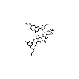 C=CCCCCC[C@H](Nc1cc(C)cc(C(F)(F)F)c1)C(=O)N1C[C@H](Oc2cc(-c3nc(C(C)C)cs3)nc3c(C)c(OC)ccc23)C[C@H]1C(=O)N[C@]1(C(=O)NS(=O)(=O)C2(C)CC2)C[C@H]1C=C